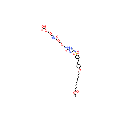 CC(C)(C)OC(=O)CCCCCCCCCCCOc1ccc(CCc2ccc(S(=O)(=O)Nc3cnc(C(=O)NCCOCCOCC(=O)NCCOCCOCC(=O)O)nc3)cc2)cc1